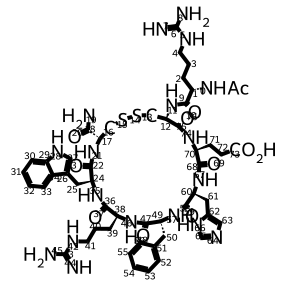 CC(=O)N[C@@H](CCCNC(=N)N)C(=O)N[C@H]1CSSC[C@@H](C(N)=O)NC(=O)[C@H](Cc2c[nH]c3ccccc23)NC(=O)[C@H](CCCNC(=N)N)NC(=O)[C@@H](Cc2ccccc2)NC(=O)[C@H](Cc2cnc[nH]2)NC(=O)[C@H](CCC(=O)O)NC1=O